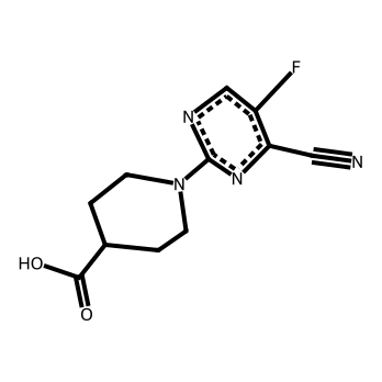 N#Cc1nc(N2CCC(C(=O)O)CC2)ncc1F